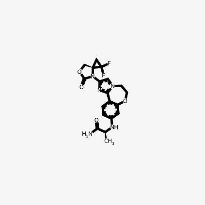 C[C@H](Nc1ccc2c(c1)OCCn1cc(N3C(=O)OC[C@]34CC4(F)F)nc1-2)C(N)=O